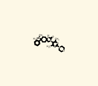 Cc1nc(N2CCOCC2)nc(C)c1N1CC2(CCC(c3ccccc3)(N(C)C)CC2)NC1=O